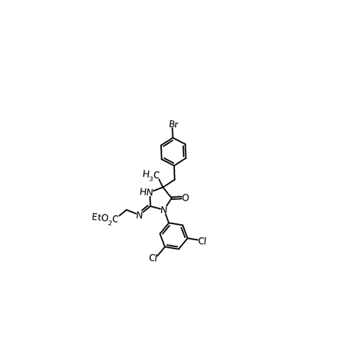 CCOC(=O)CN=C1NC(C)(Cc2ccc(Br)cc2)C(=O)N1c1cc(Cl)cc(Cl)c1